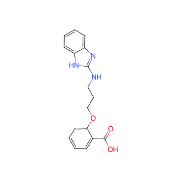 O=C(O)c1ccccc1OCCCNc1nc2ccccc2[nH]1